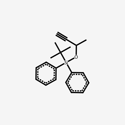 C#CC(C)O[Si](c1ccccc1)(c1ccccc1)C(C)(C)C